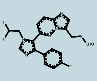 O=CNCc1cnc2ccc(-c3c(-c4ccc(F)cc4)ncn3CC(F)F)nn12